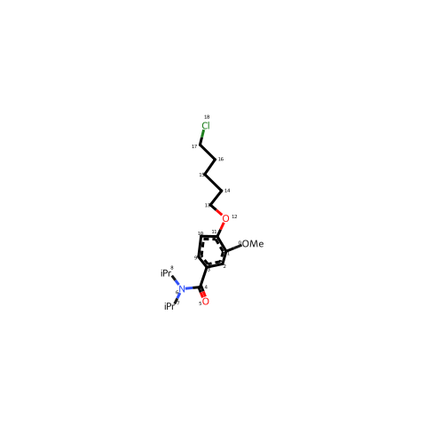 COc1cc(C(=O)N(C(C)C)C(C)C)ccc1OCCCCCCl